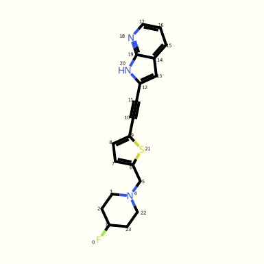 FC1CCN(Cc2ccc(C#Cc3cc4cccnc4[nH]3)s2)CC1